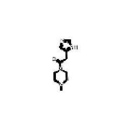 CN1CCN(C(=O)Cc2cnc[nH]2)CC1